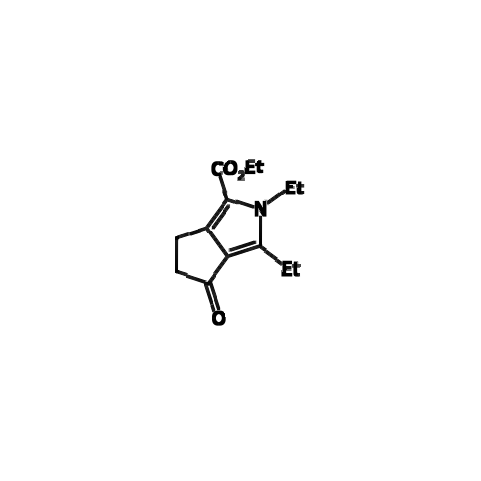 CCOC(=O)c1c2c(c(CC)n1CC)C(=O)CC2